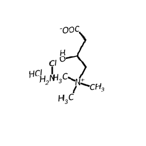 C[N+](C)(C)CC(O)CC(=O)[O-].Cl.NCl